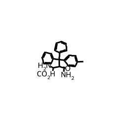 Cc1ccc(C(c2ccccc2)(c2ccccc2)C(C(N)=O)C(N)C(=O)O)cc1